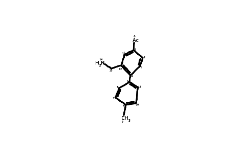 CC(=O)c1ccc(-c2ccc(C)cc2)c(CN)c1